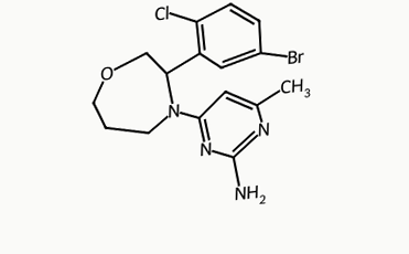 Cc1cc(N2CCCOCC2c2cc(Br)ccc2Cl)nc(N)n1